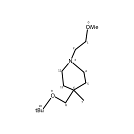 COCCN1CCC(C)(COC(C)(C)C)CC1